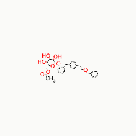 CC(=O)OC[C@H]1O[C@H](Oc2ccccc2Cc2ccc(CCOCc3ccccc3)cc2)[C@H](O)[C@@H](O)[C@@H]1O